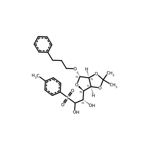 Cc1ccc(S(=O)(=O)C(O)[C@@H](O)[C@H]2O[C@H](OCCCc3ccccc3)[C@H]3OC(C)(C)O[C@H]32)cc1